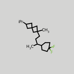 CC(C)C1CC2(C1)CC(C)(CCC(C)C1CCC(F)(F)CC1)C2